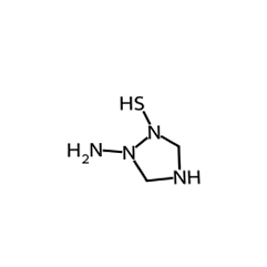 NN1CNCN1S